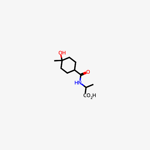 CC(NC(=O)C1CCC(C)(O)CC1)C(=O)O